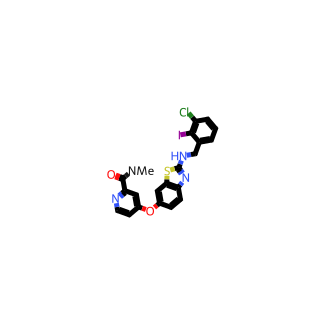 CNC(=O)c1cc(Oc2ccc3nc(NCc4cccc(Cl)c4I)sc3c2)ccn1